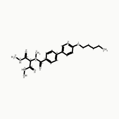 CCCCCOc1ccc(-c2ccc(C(=O)N(C)C(C(=O)NC)C(=O)NO)cc2)cn1